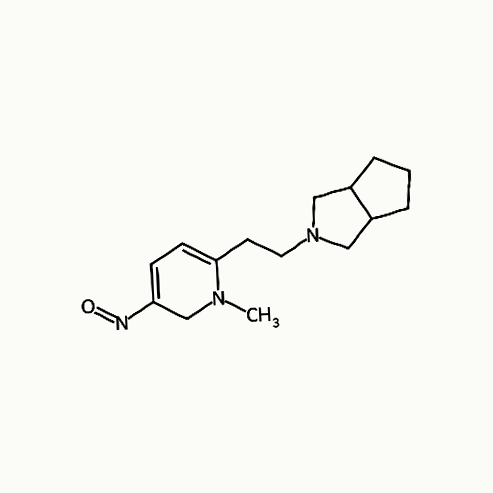 CN1CC(N=O)=CC=C1CCN1CC2CCCC2C1